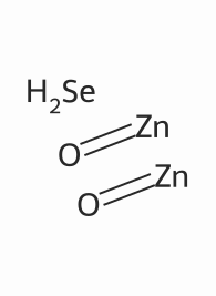 [O]=[Zn].[O]=[Zn].[SeH2]